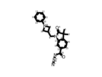 CC1(C)C(=O)N(CC2CN(c3ccccc3)C2)c2cc(C(=O)N=[N+]=[N-])ccc21